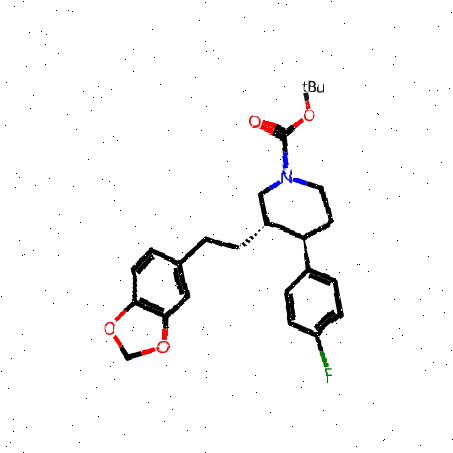 CC(C)(C)OC(=O)N1CC[C@@H](c2ccc(F)cc2)[C@H](CCc2ccc3c(c2)OCO3)C1